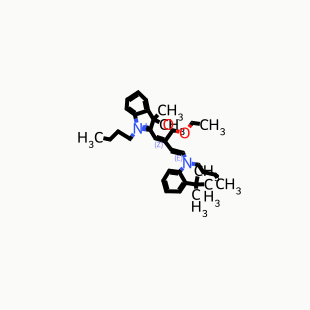 CCCCN(/C=C/C(=C/C1=[N+](CCCC)c2ccccc2C1(C)C)C(=O)OCC)c1ccccc1C(C)(C)C